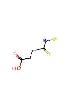 O=C(O)CCC(=S)NS